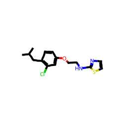 CC(C)[CH]c1ccc(OCCNc2nccs2)cc1Cl